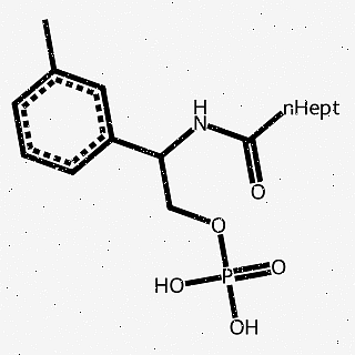 CCCCCCCC(=O)NC(COP(=O)(O)O)c1cccc(C)c1